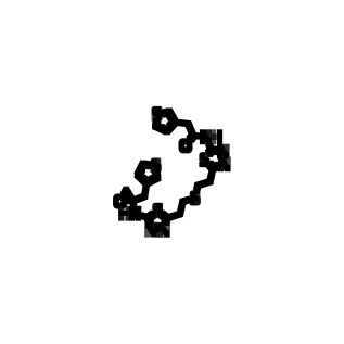 O=C(Cc1ccsc1)Nc1nnc(CCSCCc2nnc(NC3(Cc4ccsc4)CO3)s2)s1